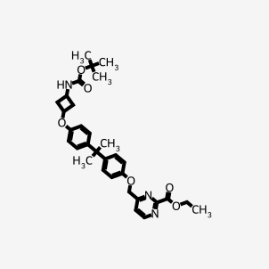 CCOC(=O)c1nccc(COc2ccc(C(C)(C)c3ccc(OC4CC(NC(=O)OC(C)(C)C)C4)cc3)cc2)n1